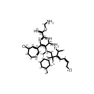 CC(F)/C(=C\C=C/CCl)C(C)(F)CN(C[C@H]1CC[C@H](C)CC1)C1=C(C2=CC(Cl)CCN=C2)N=C(C(=N)OCN)NC1N